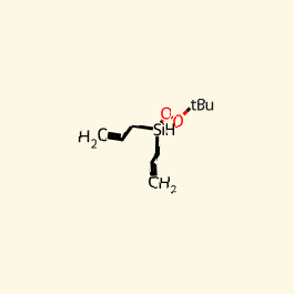 C=CC[SiH](CC=C)OOC(C)(C)C